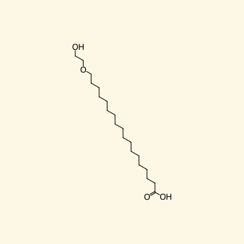 O=C(O)CCCCCCCCCCCCCCCCCOCCO